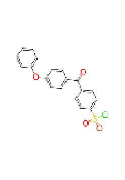 O=C(c1ccc(Oc2ccccc2)cc1)c1ccc(S(=O)(=O)Cl)cc1